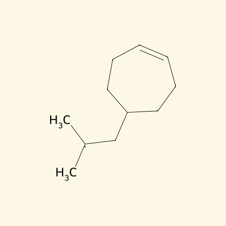 C[C](C)CC1CCC=CCC1